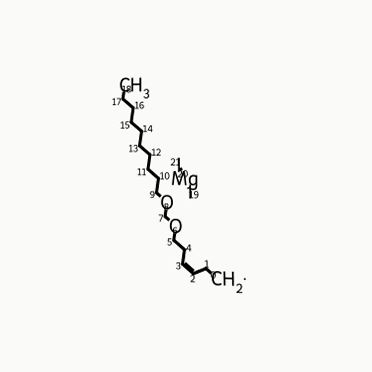 [CH2]C/C=C\CCOCOCCCCCCCCCC.[I][Mg][I]